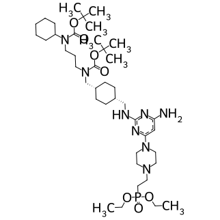 CCOP(=O)(CCN1CCN(c2cc(N)nc(NC[C@H]3CC[C@@H](CN(CCCN(C(=O)OC(C)(C)C)C4CCCCC4)C(=O)OC(C)(C)C)CC3)n2)CC1)OCC